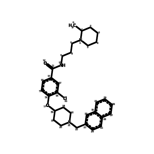 CC1CCCCN1CCCNC(=O)c1ccc(OC2CCN(Cc3ccc4ccccc4c3)CC2)c(Cl)c1